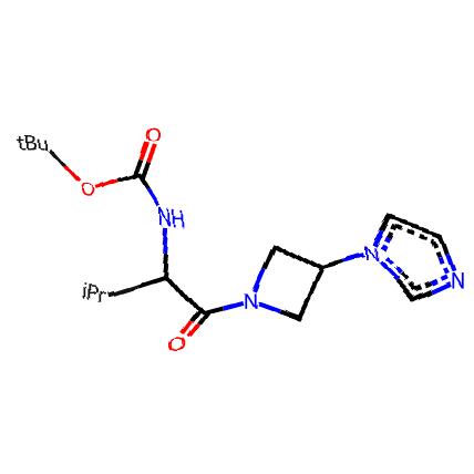 CC(C)C(NC(=O)OC(C)(C)C)C(=O)N1CC(n2ccnc2)C1